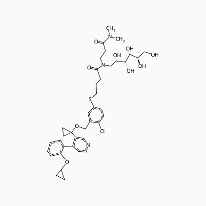 CN(C)C(=O)CCN(C[C@H](O)[C@@H](O)[C@H](O)[C@H](O)CO)C(=O)CCCSc1ccc(Cl)c(COC2(c3cnccc3-c3ccccc3OC3CC3)CC2)c1